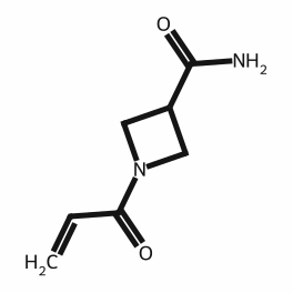 C=CC(=O)N1CC(C(N)=O)C1